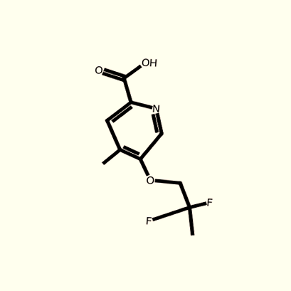 Cc1cc(C(=O)O)ncc1OCC(C)(F)F